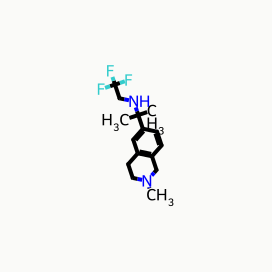 CN1CCc2cc(C(C)(C)NCC(F)(F)F)ccc2C1